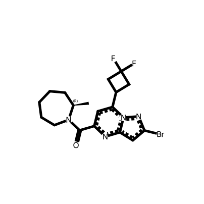 C[C@@H]1CCCCCN1C(=O)c1cc(C2CC(F)(F)C2)n2nc(Br)cc2n1